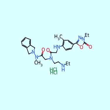 CCNCCN(CC(=O)N(C)N1Cc2ccccc2C1)C(=O)CNc1ccc(-c2nn(CC)c(=O)o2)cc1C.Cl.Cl